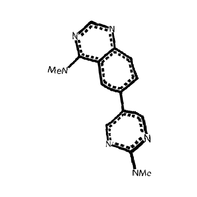 CNc1ncc(-c2ccc3ncnc(NC)c3c2)cn1